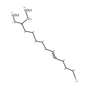 CCCCCCCCOC(CCCCC/C=C/CCCI)OCCCCCCCC